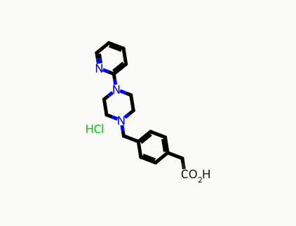 Cl.O=C(O)Cc1ccc(CN2CCN(c3ccccn3)CC2)cc1